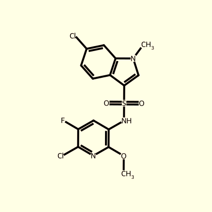 COc1nc(Cl)c(F)cc1NS(=O)(=O)c1cn(C)c2cc(Cl)ccc12